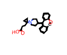 O=C(O)CCC1(N2CCC(=C3c4ccccc4COc4ccccc43)CC2)CC1